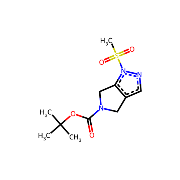 CC(C)(C)OC(=O)N1Cc2cnn(S(C)(=O)=O)c2C1